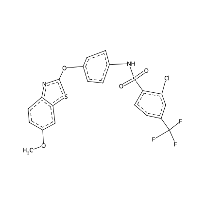 COc1ccc2nc(Oc3ccc(NS(=O)(=O)c4ccc(C(F)(F)F)cc4Cl)cc3)sc2c1